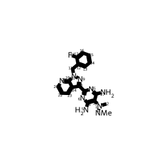 CNN(C)c1c(N)nc(-c2nn(Cc3ccccc3F)c3ncccc23)nc1N